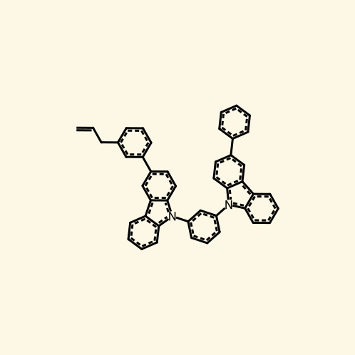 C=CCc1cccc(-c2ccc3c(c2)c2ccccc2n3-c2cccc(-n3c4ccccc4c4cc(-c5ccccc5)ccc43)c2)c1